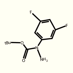 CC(C)(C)OC(=O)N(N)c1cc(F)cc(F)c1